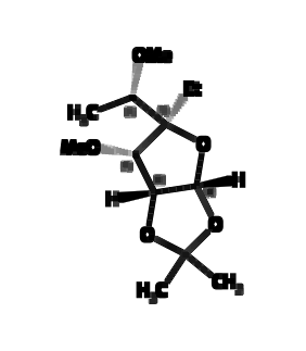 CC[C@]1([C@H](C)OC)O[C@@H]2OC(C)(C)O[C@@H]2[C@@H]1OC